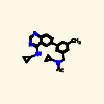 CC(=O)N(Cc1cc(C)cc(-c2ccc3ncnc(NC4CC4)c3c2)c1)C1CC1